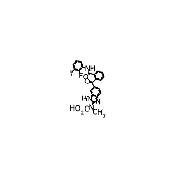 CN(C(=O)O)c1nc2ccc(C(=O)c3ccccc3C(=O)Nc3cccc(I)c3F)cc2[nH]1